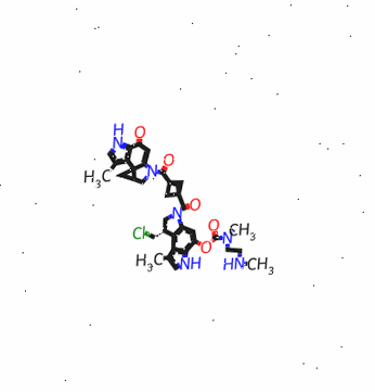 CNCCN(C)C(=O)Oc1cc2c(c3c(C)c[nH]c13)[C@H](CCl)CN2C(=O)C12CC(C(=O)N3CC4CC45C3=CC(=O)c3[nH]cc(C)c35)(C1)C2